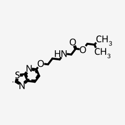 CC(C)COC(=O)CNCCCOc1ccc2n[c]sc2n1